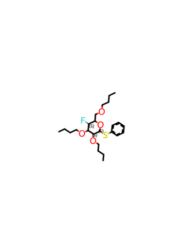 CCCCOCC1O[C@@H](Sc2ccccc2)[C@@H](OCCCC)C(OCCCC)[C@H]1F